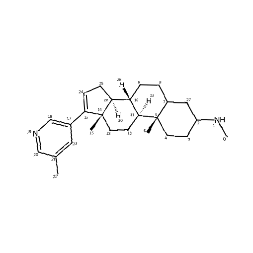 CNC1CC[C@@]2(C)C(CC[C@@H]3[C@@H]2CC[C@]2(C)C(c4cncc(C)c4)=CC[C@@H]32)C1